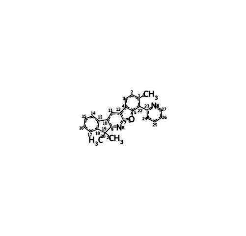 Cc1ccc2c(oc3nc4c(cc32)-c2ccccc2C4(C)C)c1-c1ccccn1